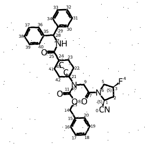 N#C[C@@H]1C[C@H](F)CN1C(=O)CN(C(=O)OCc1ccccc1)C12CCC(C(=O)NC(c3ccccc3)c3ccccc3)(CC1)CC2